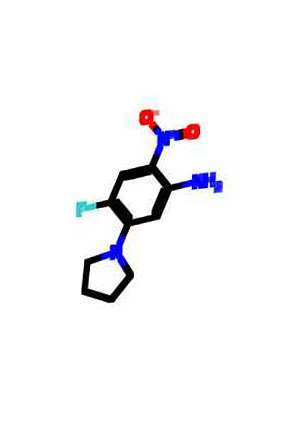 Nc1cc(N2CCCC2)c(F)cc1[N+](=O)[O-]